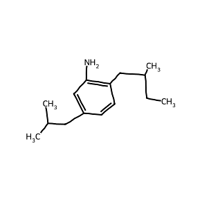 CCC(C)Cc1ccc(CC(C)C)cc1N